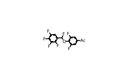 CC(=O)c1cc(F)c(OC(F)c2cc(F)c(F)c(F)c2F)c(F)c1